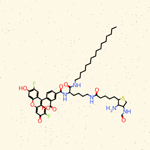 CCCCCCCCCCCCCCCCNC(=O)C(CCCCNC(=O)CCCCC1SCC(NC=O)C1N)NC(=O)c1ccc(-c2c3cc(F)c(=O)cc-3oc3cc(O)c(F)cc23)c(C(=O)O)c1